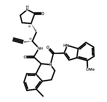 C#C[C@H](C[C@@H]1CCNC1=O)NC(=O)C1c2cccc(C)c2CCN1C(=O)c1cc2c(OC)cccc2[nH]1